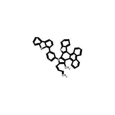 C=C/C=C\c1c(C)c2c3c4ccccc4c4ccccc4c3c3c4ccccc4sc3c2n1-c1cccc(-c2cccc3c2sc2ccccc23)c1